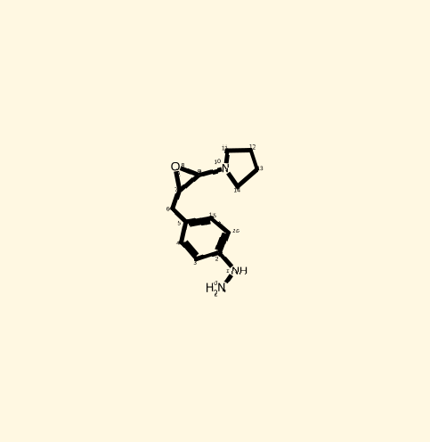 NNc1ccc(CC2OC2N2CCCC2)cc1